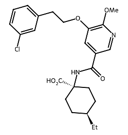 CC[C@H]1CC[C@](NC(=O)c2cnc(OC)c(OCCc3cccc(Cl)c3)c2)(C(=O)O)CC1